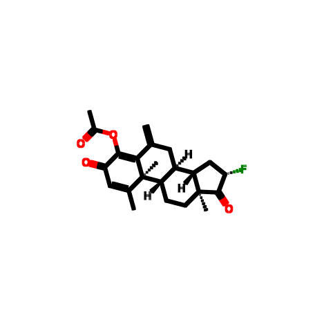 C=C1C[C@@H]2[C@H](CC[C@]3(C)C(=O)[C@@H](F)C[C@@H]23)[C@@]2(C)C(C)=CC(=O)C(OC(C)=O)=C12